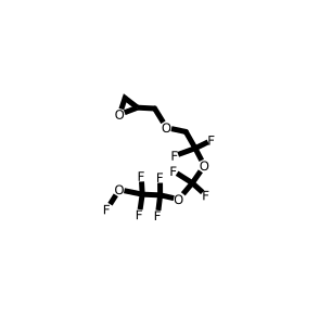 FOC(F)(F)C(F)(F)OC(F)(F)OC(F)(F)COCC1CO1